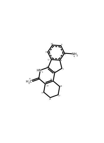 C=C1NC2=C(Cc3c(N)cccc32)C2=C1CCCC2